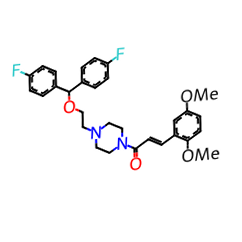 COc1ccc(OC)c(C=CC(=O)N2CCN(CCOC(c3ccc(F)cc3)c3ccc(F)cc3)CC2)c1